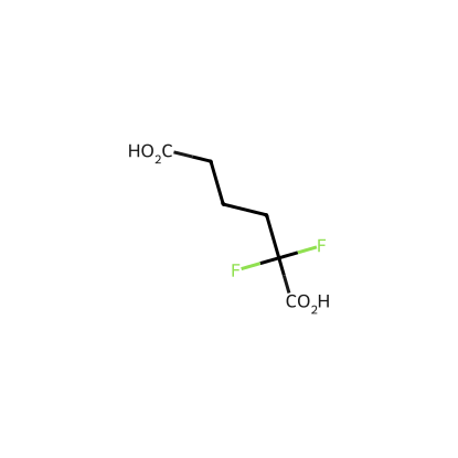 O=C(O)CCCC(F)(F)C(=O)O